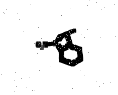 Cc1cn([N+](=O)[O-])c2ccccc12